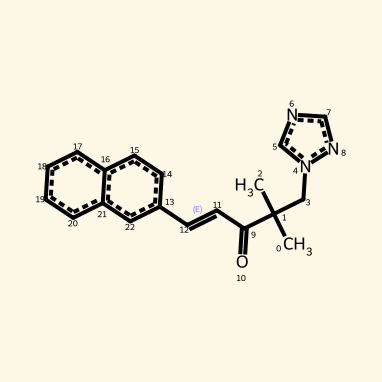 CC(C)(Cn1cncn1)C(=O)/C=C/c1ccc2ccccc2c1